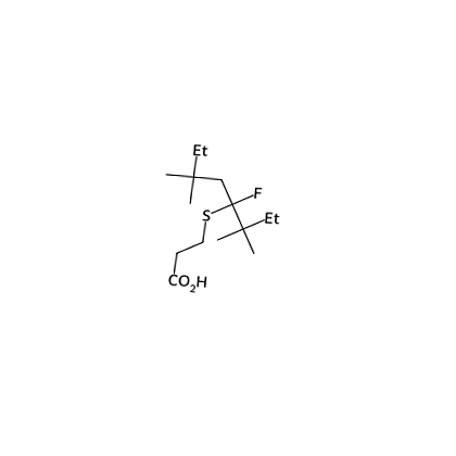 CCC(C)(C)CC(F)(SCCC(=O)O)C(C)(C)CC